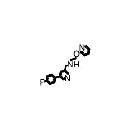 Fc1ccc(-c2cncc(CNCCOc3ccccn3)c2)cc1